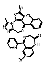 Cc1nnc2n1-c1sc(Br)cc1C(c1ccccc1Cl)=NC2.O=C1CN=C(c2ccccn2)c2cc(Br)ccc2N1